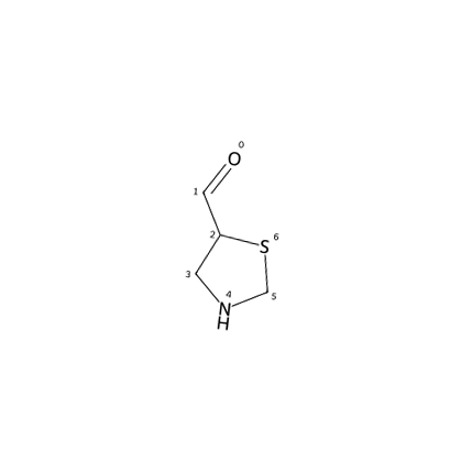 O=CC1CNCS1